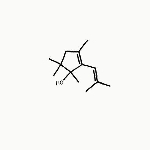 CC(C)=CC1=C(C)CC(C)(C)C1(C)O